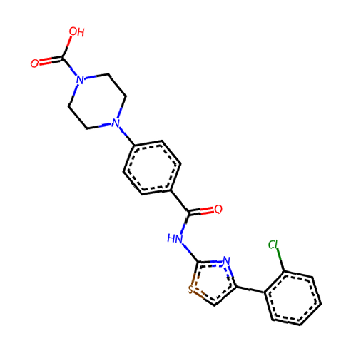 O=C(Nc1nc(-c2ccccc2Cl)cs1)c1ccc(N2CCN(C(=O)O)CC2)cc1